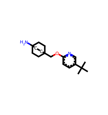 CC(C)(C)c1ccc(OCC23CCC(N)(CC2)CC3)nc1